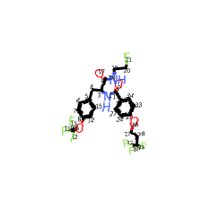 O=C(NC(Cc1ccc(OC(F)(F)F)cc1)C(=O)NCCF)c1ccc(OCCC(F)(F)F)cc1